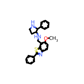 COc1ccc2nc(-c3ccccc3)sc2c1CNC1CCNC1c1ccccc1